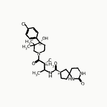 CC(NC(=O)[C@@H]1CCC2(CCNC(=O)N2)C1)[C@@H](C)C(=O)N1CC[C@](O)(c2ccc(Cl)cc2)C(C)(C)C1